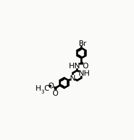 COC(=O)c1ccc(N2CCNC(NC(=O)c3ccc(Br)cc3)C2)cc1